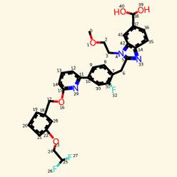 COCCn1c(Cc2ccc(-c3cccc(OCc4cccc(OCC(F)F)c4)n3)cc2F)nc2ccc(C(O)O)cc21